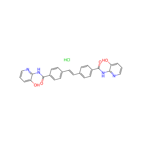 Cl.O=C(Nc1ncccc1O)c1ccc(/C=C/c2ccc(C(=O)Nc3ncccc3O)cc2)cc1